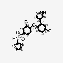 O=S(=O)(Nc1nccs1)c1ccc(Oc2ccc(F)cc2-c2cn[nH]c2)c(F)c1